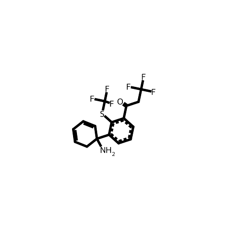 NC1(c2cccc(C(=O)CC(F)(F)F)c2SC(F)(F)F)C=CC=CC1